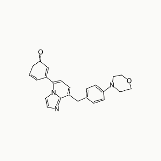 O=C1C=C(c2ccc(Cc3ccc(N4CCOCC4)cc3)c3nccn23)C=CC1